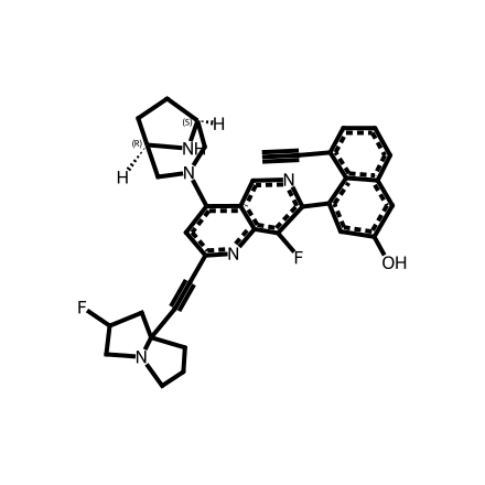 C#Cc1cccc2cc(O)cc(-c3ncc4c(N5C[C@H]6CC[C@@H](C5)N6)cc(C#CC56CCCN5CC(F)C6)nc4c3F)c12